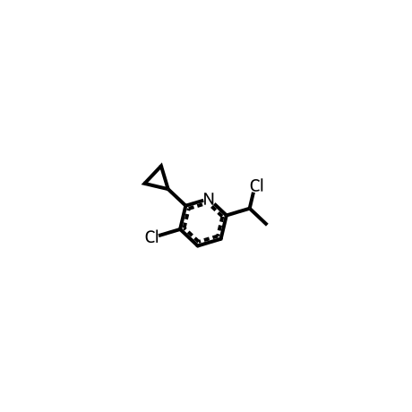 CC(Cl)c1ccc(Cl)c(C2CC2)n1